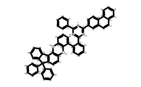 c1ccc(-c2nc(-c3ccc4c(ccc5ccccc54)c3)nc(-c3ccccc3-c3cccc4c3Oc3ccc5c(c3O4)-c3ccccc3C5(c3ccccc3)c3ccccc3)n2)cc1